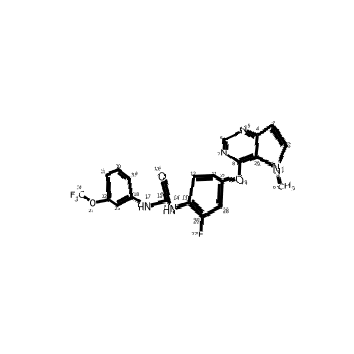 Cn1ccc2ncnc(Oc3ccc(NC(=O)Nc4cccc(OC(F)(F)F)c4)c(F)c3)c21